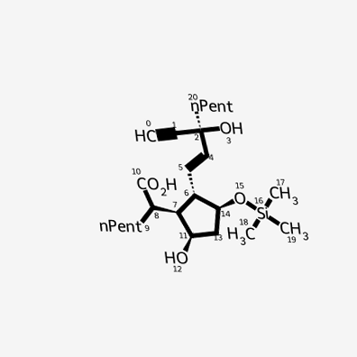 C#C[C@@](O)(C=C[C@H]1[C@H](C(CCCCC)C(=O)O)[C@H](O)C[C@@H]1O[Si](C)(C)C)CCCCC